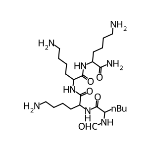 CCCCC(NC=O)C(=O)NC(CCCCN)C(=O)NC(CCCCN)C(=O)NC(CCCCN)C(N)=O